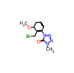 COC1CC=CC(n2nnn(C)c2=O)=C1CBr